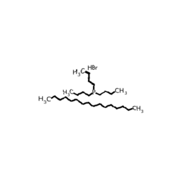 Br.CCCCCCCCCCCCCCCC.CCCCP(CCCC)CCCC